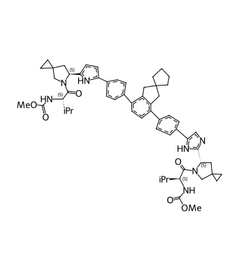 COC(=O)N[C@H](C(=O)N1CC2(CC2)C[C@H]1c1ccc(-c2ccc(-c3ccc(-c4ccc(-c5cnc([C@@H]6CC7(CC7)CN6C(=O)[C@@H](NC(=O)OC)C(C)C)[nH]5)cc4)c4c3CC3(CCCC3)C4)cc2)[nH]1)C(C)C